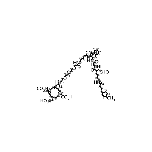 Cc1ccc(CCCC(=O)NCCCC[C@H](NC=O)C(=O)NCC(=O)N[C@@H](Cc2ccccc2)C(=O)N[C@@H](CCCCNC(=O)COCCOCCOCCNC(=O)CN2CCN(CC(=O)O)CCN(CC(=O)O)CCN(CC(=O)O)CC2)C(=O)O)cc1